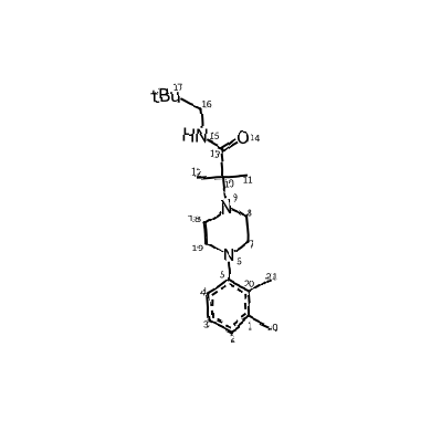 Cc1cccc(N2CCN(C(C)(C)C(=O)NCC(C)(C)C)CC2)c1C